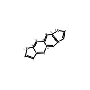 c1cc2cc3cc4ccsc4cc3cc2s1